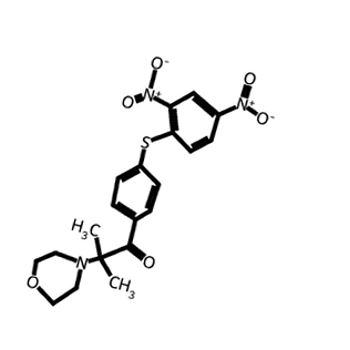 CC(C)(C(=O)c1ccc(Sc2ccc([N+](=O)[O-])cc2[N+](=O)[O-])cc1)N1CCOCC1